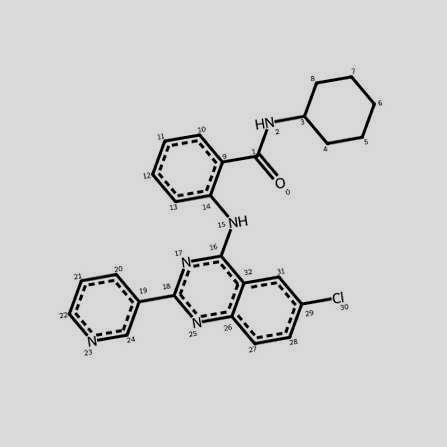 O=C(NC1CCCCC1)c1ccccc1Nc1nc(-c2cccnc2)nc2ccc(Cl)cc12